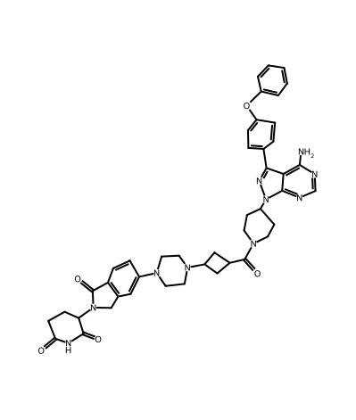 Nc1ncnc2c1c(-c1ccc(Oc3ccccc3)cc1)nn2C1CCN(C(=O)C2CC(N3CCN(c4ccc5c(c4)CN(C4CCC(=O)NC4=O)C5=O)CC3)C2)CC1